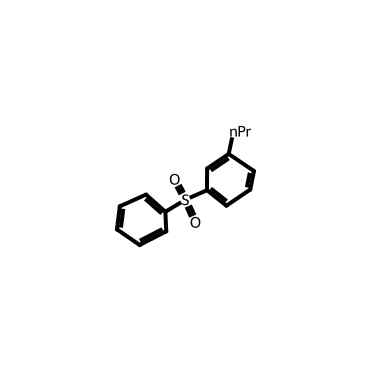 CCCc1cccc(S(=O)(=O)c2ccccc2)c1